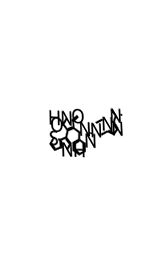 CN(C)c1ncc2n1CCN(c1nc(C3=C(c4c[nH]c5ccsc45)C(=O)NC3=O)c3ccccc3n1)C2